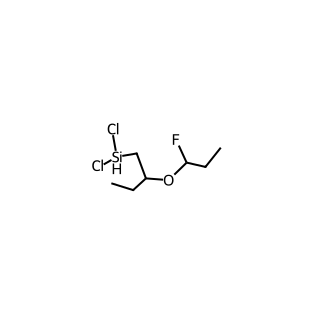 CCC(F)OC(CC)C[SiH](Cl)Cl